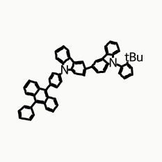 CC(C)(C)c1ccccc1-n1c2ccccc2c2cc(-c3ccc4c(c3)c3ccccc3n4-c3ccc(-c4c5ccccc5c(-c5ccccc5)c5ccccc45)cc3)ccc21